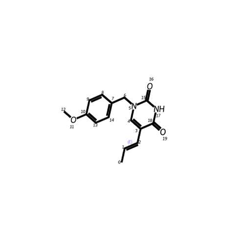 C/C=C/c1cn(Cc2ccc(OC)cc2)c(=O)[nH]c1=O